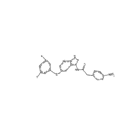 Nc1ccc(CC(=O)Nc2n[nH]c3ncc(Sc4cc(F)cc(F)c4)cc23)cc1